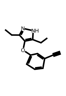 C#Cc1cccc(Oc2c(CC)n[nH]c2CC)c1